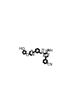 N#Cc1cccc(-c2cnc(N=N)c(NCc3cccc(-c4ncc(OC5CCC(O)C5)cn4)c3)n2)c1